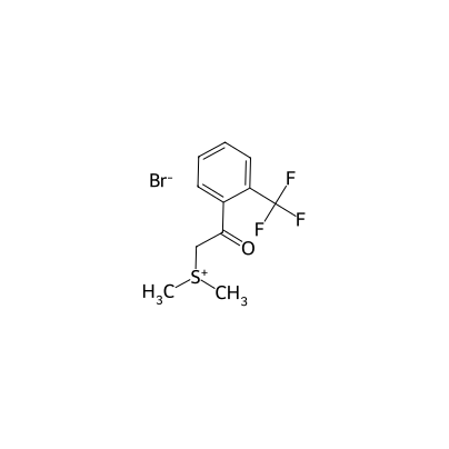 C[S+](C)CC(=O)c1ccccc1C(F)(F)F.[Br-]